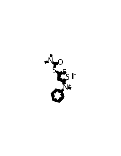 CN(C)C(=O)Sc1cc(=[N+](C)c2ccccc2)ss1.[I-]